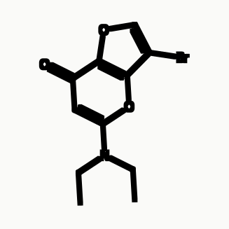 CCN(CC)c1cc(=O)c2occ(Br)c2o1